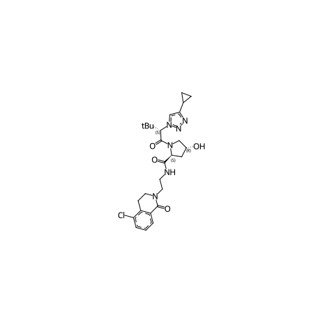 CC(C)(C)[C@@H](C(=O)N1C[C@H](O)C[C@H]1C(=O)NCCN1CCc2c(Cl)cccc2C1=O)n1cc(C2CC2)nn1